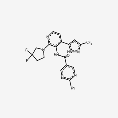 CC(C)c1ncc(C(=O)Nc2c(-c3cc(C(F)(F)F)n[nH]3)ccnc2N2CCC(F)(F)C2)cn1